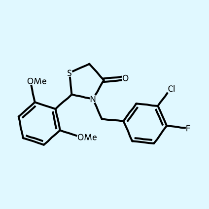 COc1cccc(OC)c1C1SCC(=O)N1Cc1ccc(F)c(Cl)c1